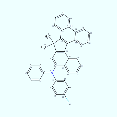 CC1(C)c2cc(N(c3ccccc3)c3ccc(F)cc3)c3ccccc3c2-c2c1c1ccccc1c1ccccc21